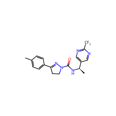 Cc1ccc(C2=NN(C(=O)N[C@H](C)c3cnc(C(F)(F)F)nc3)CC2)cc1